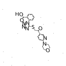 O=C(CSc1nnnn1-c1ccccc1C(=O)O)c1ccc(N2CCOCC2)nc1